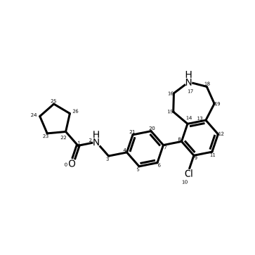 O=C(NCc1ccc(-c2c(Cl)ccc3c2CCNCC3)cc1)C1CCCC1